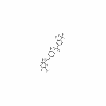 Cc1cnc(NCC2CCC(NC(=O)c3ccc(C(F)(F)F)c(F)c3)CC2)nc1N(C)C